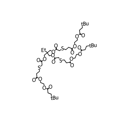 CCC(COC(=O)CSCCC(=O)OCCOC(=O)CCC(C)(C)C)(COC(=O)CSCCC(=O)OCCOC(=O)CCC(C)(C)C)COC(=O)CSCCC(=O)OCCOC(=O)CCC(C)(C)C